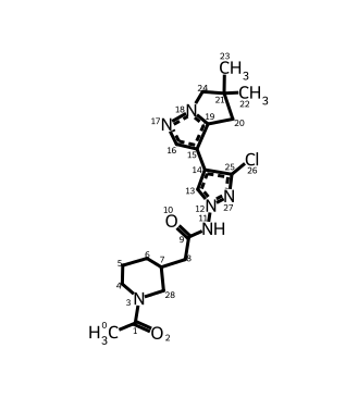 CC(=O)N1CCCC(CC(=O)Nn2cc(-c3cnn4c3CC(C)(C)C4)c(Cl)n2)C1